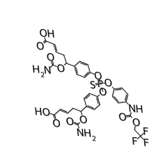 NC(=O)OC(CC=CC(=O)O)c1ccc(OP(=S)(Oc2ccc(NC(=O)OCC(F)(F)F)cc2)Oc2ccc(C(CC=CC(=O)O)OC(N)=O)cc2)cc1